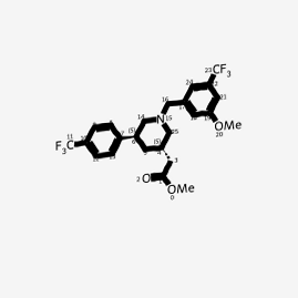 COC(=O)C[C@@H]1C[C@@H](c2ccc(C(F)(F)F)cc2)CN(Cc2cc(OC)cc(C(F)(F)F)c2)C1